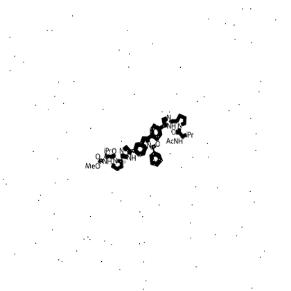 COC(=O)N[C@H](C(=O)N1CCC[C@H]1c1ncc(-c2ccc3c(c2)cc2n3[C@H](c3ccccc3)Oc3cc(-c4cnc(C5CCCN5C(=O)C(NC(C)=O)C(C)C)[nH]4)ccc3-2)[nH]1)C(C)C